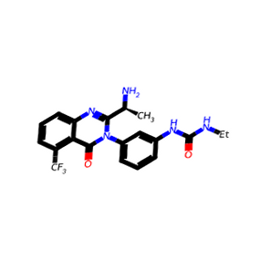 CCNC(=O)Nc1cccc(-n2c([C@H](C)N)nc3cccc(C(F)(F)F)c3c2=O)c1